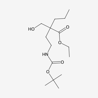 CCCC(CO)(CCNC(=O)OC(C)(C)C)C(=O)OCC